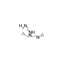 NCCNN(CC[N]C1CC1)CC1CC1